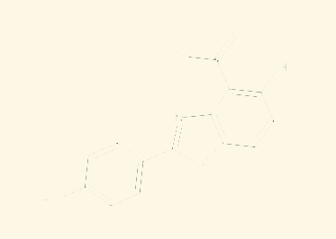 C=C(Br)c1c(O)ccc2oc(-c3ccc(O)cc3)nc12